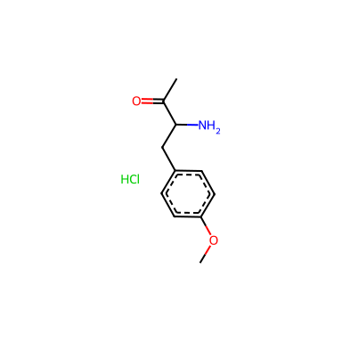 COc1ccc(CC(N)C(C)=O)cc1.Cl